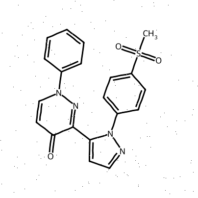 CS(=O)(=O)c1ccc(-n2nccc2-c2nn(-c3ccccc3)ccc2=O)cc1